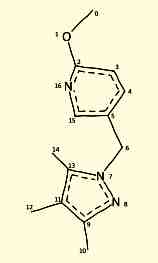 COc1ccc(Cn2nc(C)c(C)c2C)cn1